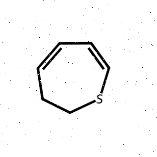 C1=CCCSC=C1